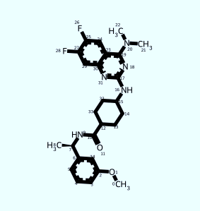 COc1cccc([C@@H](C)NC(=O)C2CCC(Nc3nc(N(C)C)c4cc(F)c(F)cc4n3)CC2)c1